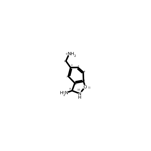 NCc1ccc2c(c1)C(N)NO2